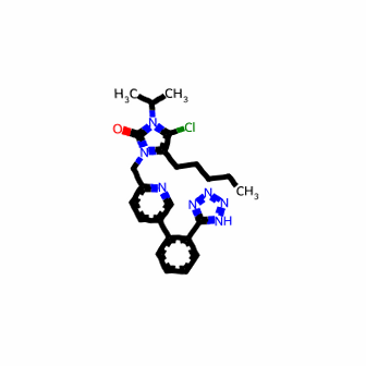 CCCCCc1c(Cl)n(C(C)C)c(=O)n1Cc1ccc(-c2ccccc2-c2nnn[nH]2)cn1